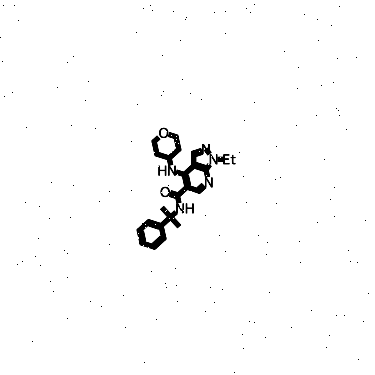 CCn1ncc2c(NC3CCOCC3)c(C(=O)NC(C)(C)c3ccccc3)cnc21